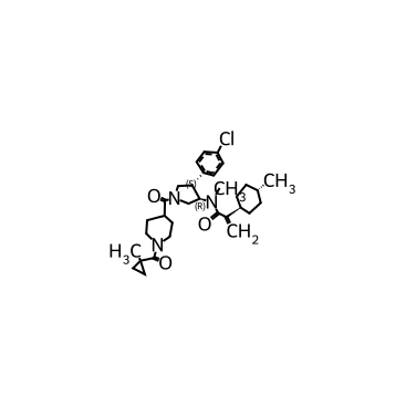 C=C(C(=O)N(C)[C@H]1CN(C(=O)C2CCN(C(=O)C3(C)CC3)CC2)C[C@@H]1c1ccc(Cl)cc1)[C@H]1CC[C@H](C)CC1